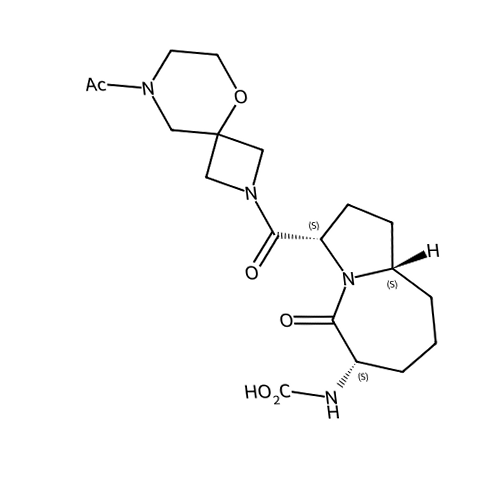 CC(=O)N1CCOC2(C1)CN(C(=O)[C@@H]1CC[C@@H]3CCC[C@H](NC(=O)O)C(=O)N31)C2